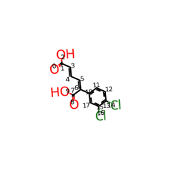 O=C(O)C=CC=C(C(=O)O)c1ccc(Cl)c(Cl)c1